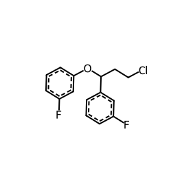 Fc1cccc(OC(CCCl)c2cccc(F)c2)c1